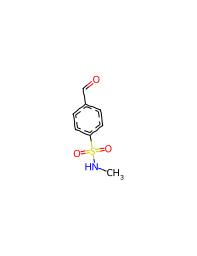 CNS(=O)(=O)c1ccc(C=O)cc1